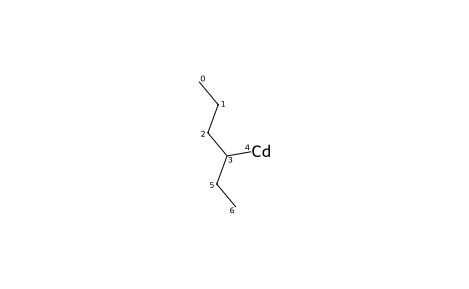 CCC[CH]([Cd])CC